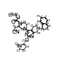 Cc1ccc2cccc(N3CCc4c(nc(OC[C@@H]5CCCN5C)nc4N4CCN(C(=O)OC(C)(C)C)C(CC#N)C4)C3)c2c1